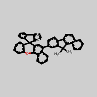 CC1(C)c2cc(-c3cc4c(c5ccccc35)Oc3ccccc3C43c4ccccc4-c4ccccc43)ccc2-c2ccc3ccccc3c21